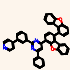 c1ccc(-c2cc(-c3ccc(-c4cccc5oc6ccccc6c45)c4c3oc3ccccc34)nc(-c3cccc(-c4ccncc4)c3)n2)cc1